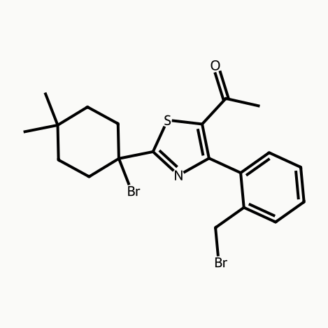 CC(=O)c1sc(C2(Br)CCC(C)(C)CC2)nc1-c1ccccc1CBr